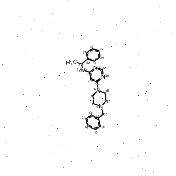 CC(Nc1cc(N2CCN(Cc3ccccc3)CC2)ncn1)c1ccccc1